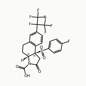 O=C(O)N1C(=O)C[C@@]2(S(=O)(=O)c3ccc(F)cc3)c3ccc(C(F)(C(F)(F)F)C(F)(F)F)cc3CC[C@@H]12